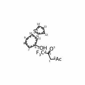 CC(=O)CC(=O)C(F)(F)F.Oc1ccccc1.c1ccsc1